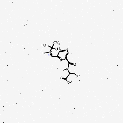 CC(C)(C)/[N+]([O-])=C\c1cncc(C(=O)NC(CS)C(=O)O)n1